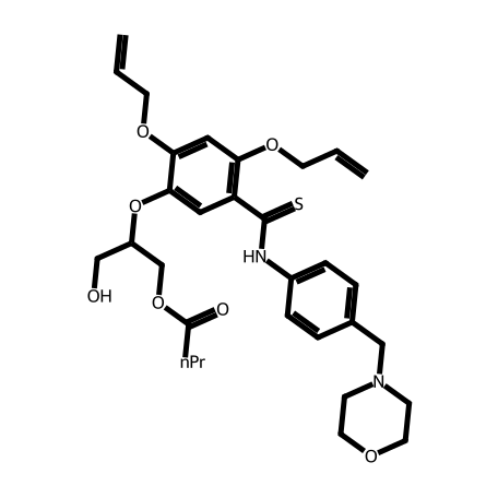 C=CCOc1cc(OCC=C)c(C(=S)Nc2ccc(CN3CCOCC3)cc2)cc1OC(CO)COC(=O)CCC